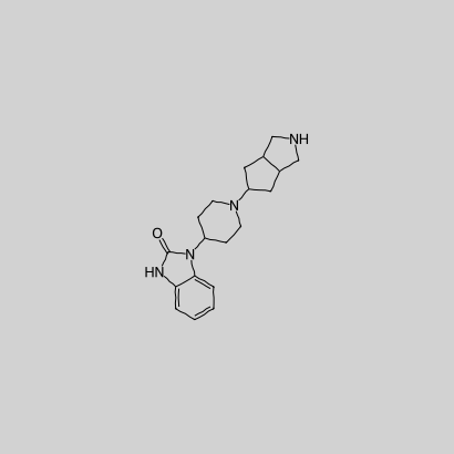 O=c1[nH]c2ccccc2n1C1CCN(C2CC3CNCC3C2)CC1